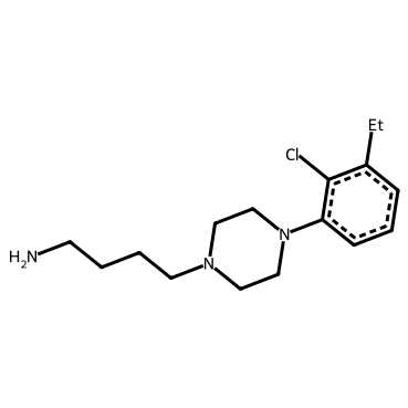 CCc1cccc(N2CCN(CCCCN)CC2)c1Cl